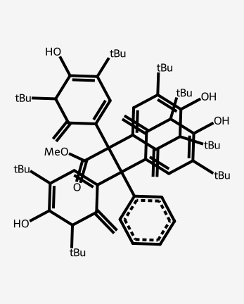 C=C1C(C(C(=O)OC)(C2=CC(C(C)(C)C)=C(O)C(C(C)(C)C)C2=C)C(C2=CC(C(C)(C)C)=C(O)C(C(C)(C)C)C2=C)(C2=CC(C(C)(C)C)=C(O)C(C(C)(C)C)C2=C)c2ccccc2)=CC(C(C)(C)C)=C(O)C1C(C)(C)C